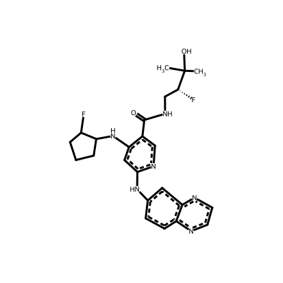 CC(C)(O)[C@H](F)CNC(=O)c1cnc(Nc2ccc3nccnc3c2)cc1NC1CCCC1F